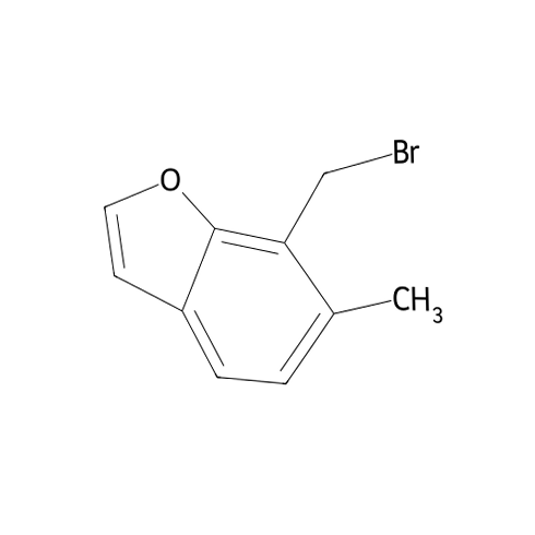 Cc1ccc2ccoc2c1CBr